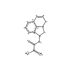 C=C(C)C(=O)OC1CC2CC=Cc3cccc1c32